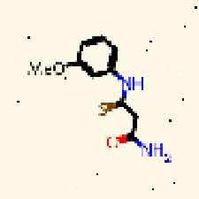 COc1cccc(NC(=S)CC(N)=O)c1